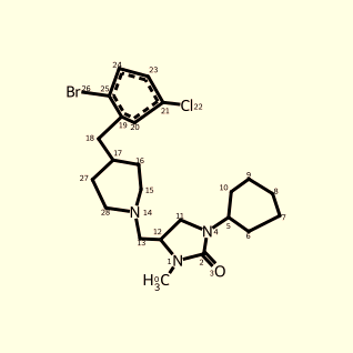 CN1C(=O)N(C2CCCCC2)CC1CN1CCC(Cc2cc(Cl)ccc2Br)CC1